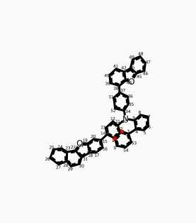 c1ccc(-c2ccccc2N(c2ccc(-c3ccc4c(c3)oc3c5ccccc5ccc43)cc2)c2ccc(-c3cccc4c3oc3ccccc34)cc2)cc1